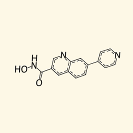 O=C(NO)c1cnc2cc(-c3ccncc3)ccc2c1